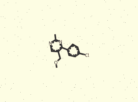 COCc1cnc(C)nc1-c1ccc(Cl)cc1